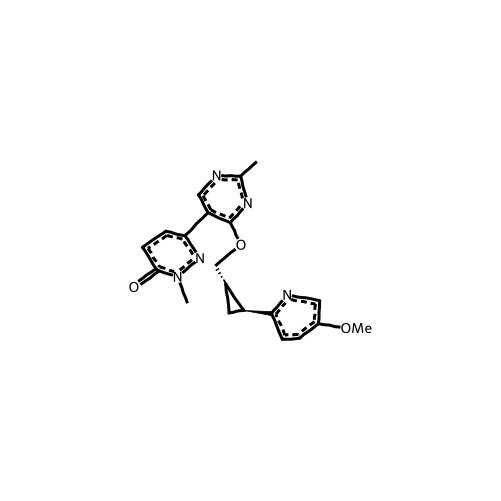 COc1ccc([C@H]2C[C@@H]2COc2nc(C)ncc2-c2ccc(=O)n(C)n2)nc1